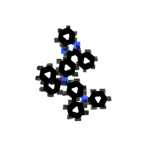 c1ccc(-c2nc3ccccc3nc2-c2ccc(N(c3ccc4c(c3)c3ccccc3n4-c3ccccc3)c3cccc4ccccc34)cc2)cc1